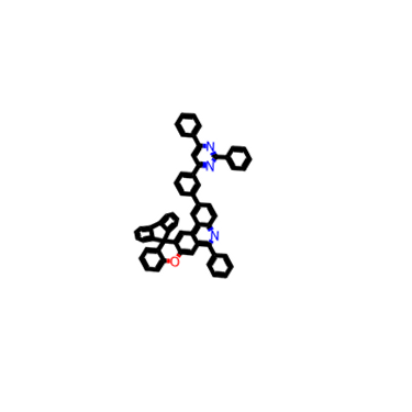 c1ccc(-c2cc(-c3cccc(-c4ccc5nc(-c6ccccc6)c6cc7c(cc6c5c4)C4(c5ccccc5O7)c5ccccc5-c5ccccc54)c3)nc(-c3ccccc3)n2)cc1